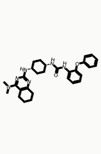 CN(C)c1nc(N[C@H]2CC[C@@H](NC(=O)Nc3ccccc3Oc3ccccc3)CC2)nc2c1CCCC2